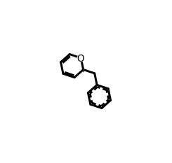 C1=CO[C](Cc2ccccc2)C=C1